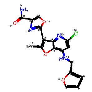 CCCc1oc2c(NCc3ccco3)cc(Cl)nc2c1-c1nc(C(N)=O)co1